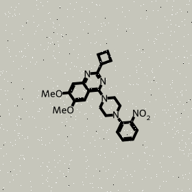 COc1cc2nc(C3CCC3)nc(N3CCN(c4ccccc4[N+](=O)[O-])CC3)c2cc1OC